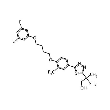 CC(N)(CO)c1nnc(-c2ccc(OCCCCOc3cc(F)cc(F)c3)c(C(F)(F)F)c2)s1